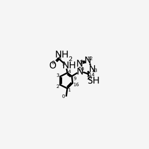 Cc1ccc(NC(N)=O)c(-n2nnnc2S)c1